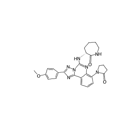 COc1ccc(-c2nc3c4cccc(N5CCCC5=O)c4nc(N[C@@H]4CCCCNC4=O)n3n2)cc1